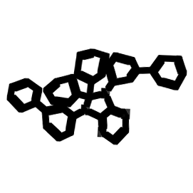 c1ccc(-c2cccc(N3c4nccnc4N(c4cccc(-c5ccccc5)c4)C3(c3ccccc3)c3ccccc3)c2)cc1